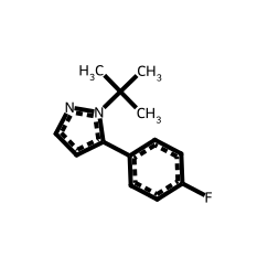 CC(C)(C)n1nccc1-c1ccc(F)cc1